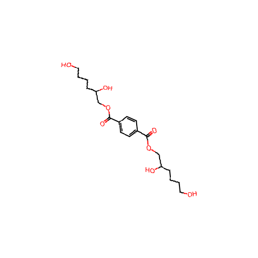 O=C(OCC(O)CCCCO)c1ccc(C(=O)OCC(O)CCCCO)cc1